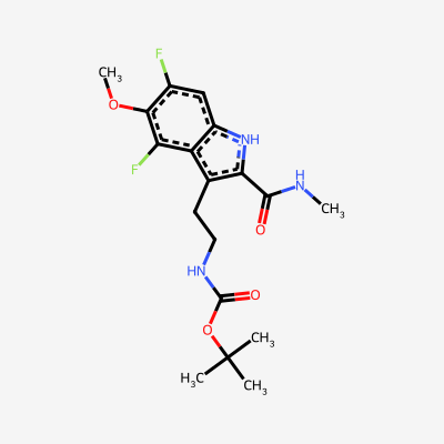 CNC(=O)c1[nH]c2cc(F)c(OC)c(F)c2c1CCNC(=O)OC(C)(C)C